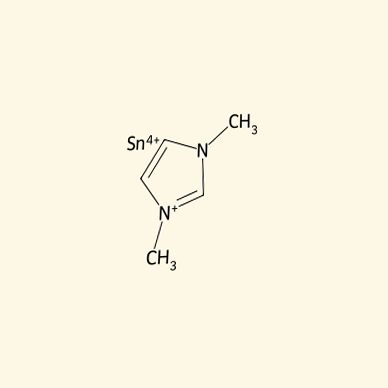 Cn1cc[n+](C)c1.[Sn+4]